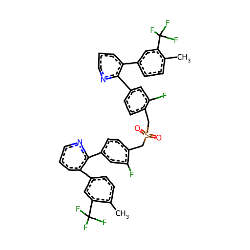 Cc1ccc(-c2cccnc2-c2ccc(CS(=O)(=O)Cc3ccc(-c4ncccc4-c4ccc(C)c(C(F)(F)F)c4)cc3F)c(F)c2)cc1C(F)(F)F